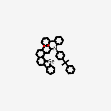 CC(C)(c1ccccc1)c1ccc(N(c2ccc3ccc4ccc5c6ccccc6[se]c5c4c3c2)c2ccccc2-c2ccccc2)cc1